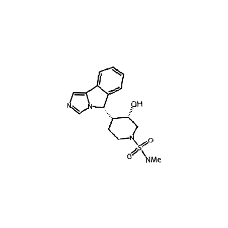 CNS(=O)(=O)N1CCC([C@H]2c3ccccc3-c3cncn32)[C@H](O)C1